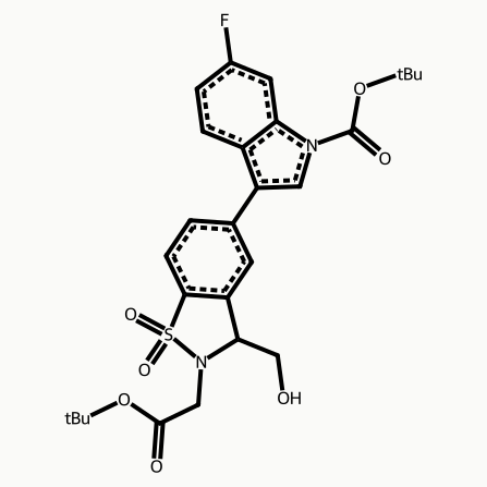 CC(C)(C)OC(=O)CN1C(CO)c2cc(-c3cn(C(=O)OC(C)(C)C)c4cc(F)ccc34)ccc2S1(=O)=O